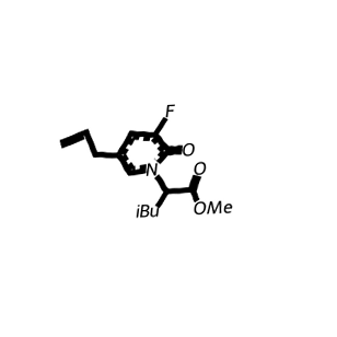 C=CCc1cc(F)c(=O)n(C(C(=O)OC)C(C)CC)c1